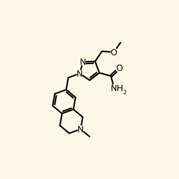 COCc1nn(Cc2ccc3c(c2)CN(C)CC3)cc1C(N)=O